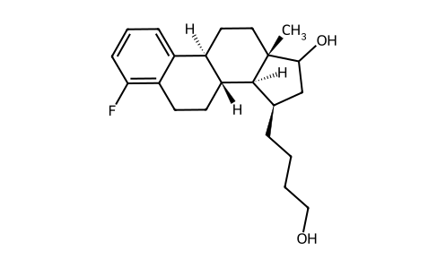 C[C@]12CC[C@@H]3c4cccc(F)c4CC[C@H]3[C@@H]1[C@H](CCCCO)CC2O